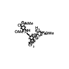 CNC(=O)c1cc(NCC#Cc2cc(C(=O)N[C@H]3CCN(CCOC)C[C@@H]3C)c3ncn(CC(F)(F)F)c3c2)c(OC)cc1Cl